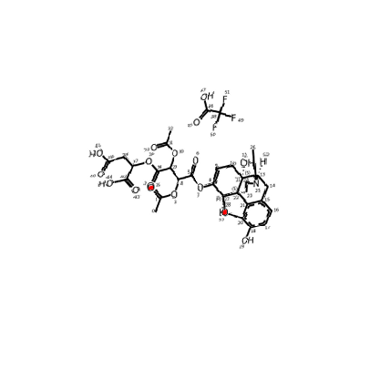 CC(=O)OC(C(=O)OC1=CC[C@@]2(O)[C@H]3Cc4ccc(O)c5c4[C@@]2(CCN3C)[C@H]1O5)C(OC(C)=O)C(=O)OC(CC(=O)O)C(=O)O.O=C(O)C(F)(F)F